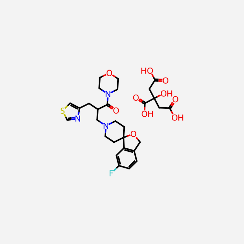 O=C(C(Cc1cscn1)CN1CCC2(CC1)OCc1ccc(F)cc12)N1CCOCC1.O=C(O)CC(O)(CC(=O)O)C(=O)O